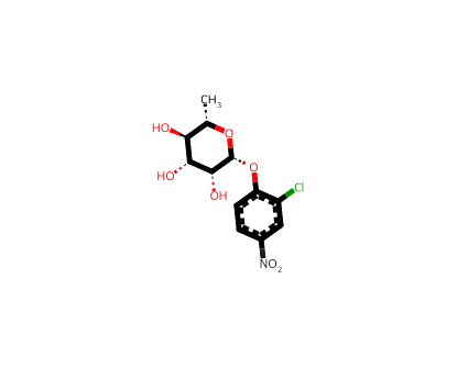 C[C@@H]1O[C@H](Oc2ccc([N+](=O)[O-])cc2Cl)[C@H](O)[C@H](O)[C@H]1O